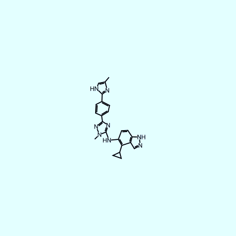 Cc1c[nH]c(-c2ccc(-c3nc(Nc4ccc5[nH]ncc5c4C4CC4)n(C)n3)cc2)n1